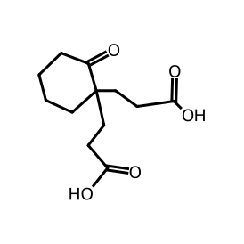 O=C(O)CCC1(CCC(=O)O)CCCCC1=O